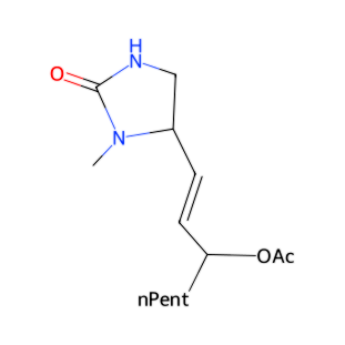 CCCCCC(C=CC1CNC(=O)N1C)OC(C)=O